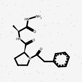 C[C@H](NC(=O)[C@@H]1CCCN1C(=O)Cc1ccccc1)C(=O)NN